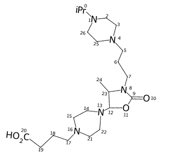 CC(C)N1CCN(CCCN2C(=O)OC(N3CCN(CCCC(=O)O)CC3)C2C)CC1